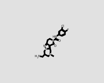 CN1Cc2c3c(nn2CC(CN)C1)CCN(C(=O)Nc1ccc(F)c(Cl)c1)C3=O